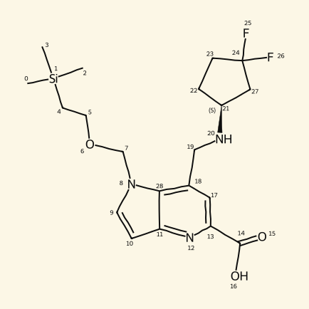 C[Si](C)(C)CCOCn1ccc2nc(C(=O)O)cc(CN[C@H]3CCC(F)(F)C3)c21